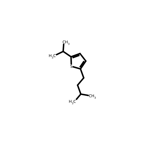 CC(C)CCc1ccc(C(C)C)s1